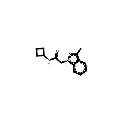 Cc1nn(CC(=O)NC2CCC2)c2ccccc12